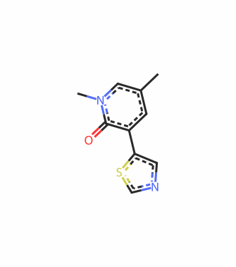 Cc1cc(-c2cncs2)c(=O)n(C)c1